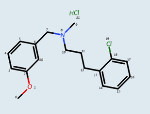 COc1cccc(CN(C)CCCc2ccccc2Cl)c1.Cl